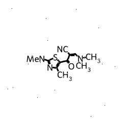 CNc1nc(C)c(C(=O)/C(C#N)=C\N(C)C)s1